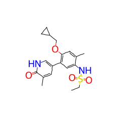 CCS(=O)(=O)Nc1cc(-c2c[nH]c(=O)c(C)c2)c(OCC2CC2)cc1C